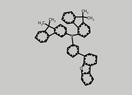 CC1(C)c2ccccc2-c2cc(N(c3cccc(-c4cccc5c4oc4ccccc45)c3)c3cccc4c3-c3ccccc3C4(C)C)ccc21